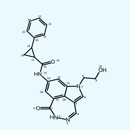 O=C1NN=Cc2cn(CCO)c3cc(NC(=O)C4CC4c4ccccc4)cc1c23